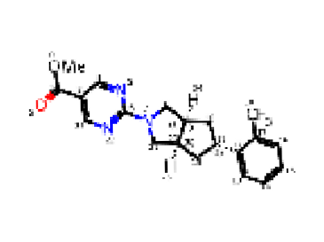 COC(=O)c1cnc(N2C[C@H]3C[C@H](c4ccccc4C(F)(F)F)C[C@H]3C2)nc1